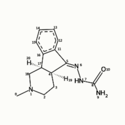 CN1CC[C@@H]2/C(=N\NC(N)=O)c3ccccc3[C@@H]2C1